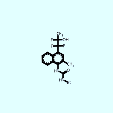 CCNC(=O)Nc1c(C)cc(C(F)(F)C(O)(F)C(F)(F)F)c2ccccc12